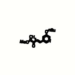 CCCCOc1cncc(/C=C/C(=O)N(C)OC)c1